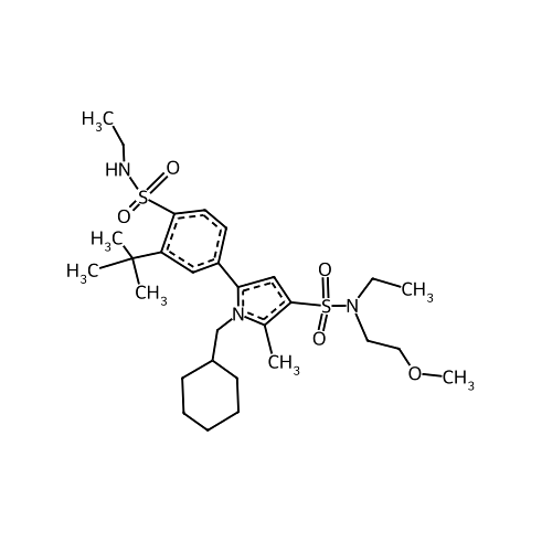 CCNS(=O)(=O)c1ccc(-c2cc(S(=O)(=O)N(CC)CCOC)c(C)n2CC2CCCCC2)cc1C(C)(C)C